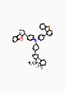 CC1(C)c2ccccc2-c2cc(-c3ccc(N(c4ccc(-c5cccc6c5oc5ccccc56)cc4)c4ccc(-c5cccc6sc7ccccc7c56)cc4)cc3)ccc21